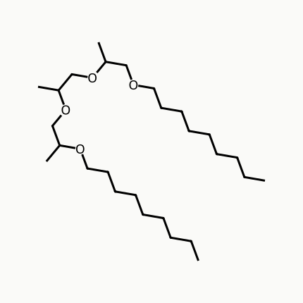 CCCCCCCCCOCC(C)OCC(C)OCC(C)OCCCCCCCCC